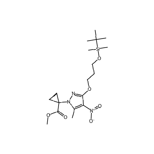 COC(=O)C1(n2nc(OCCCO[Si](C)(C)C(C)(C)C)c([N+](=O)[O-])c2C)CC1